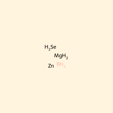 B.[MgH2].[SeH2].[Zn]